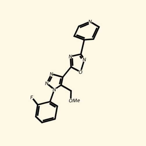 COCc1c(-c2nc(-c3ccncc3)no2)nnn1-c1ccccc1F